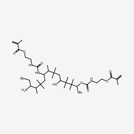 C=C(C)C(=O)OCCNC(=O)NC(CC(C)(C)C(C)C(N)CC(C)(C)C)C(C)C(C)(C)CC(O)C(C)(C)C(C)(C)C(OC(=O)NCCOC(=O)C(=C)C)C(C)(C)C